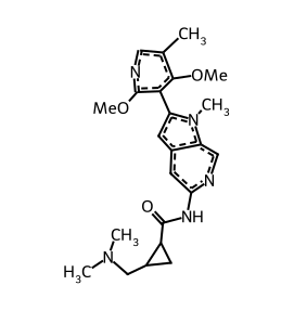 COc1ncc(C)c(OC)c1-c1cc2cc(NC(=O)C3CC3CN(C)C)ncc2n1C